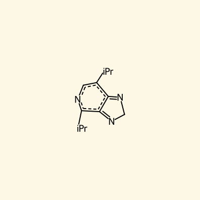 CC(C)c1cnc(C(C)C)c2c1=NCN=2